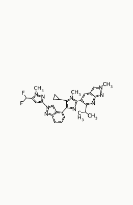 CC(C)c1nc2nn(C)cc2cc1-c1nc(-c2cccc3nn(-c4cc(C(F)F)n(C)n4)cc23)c(C2CC2)n1C